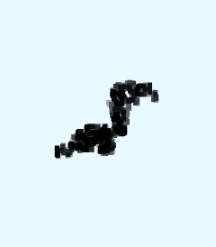 Cc1ccc(Oc2ccc(C(=O)NCC(=O)N3CC4(C[C@H]3C(=O)NC(C)c3cc(C(=N)N)cs3)OCCO4)cc2)cc1